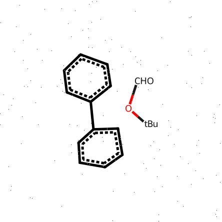 CC(C)(C)OC=O.c1ccc(-c2ccccc2)cc1